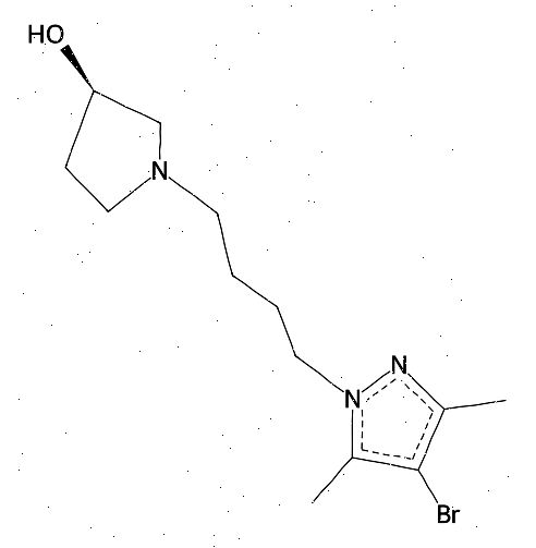 Cc1nn(CCCCN2CC[C@@H](O)C2)c(C)c1Br